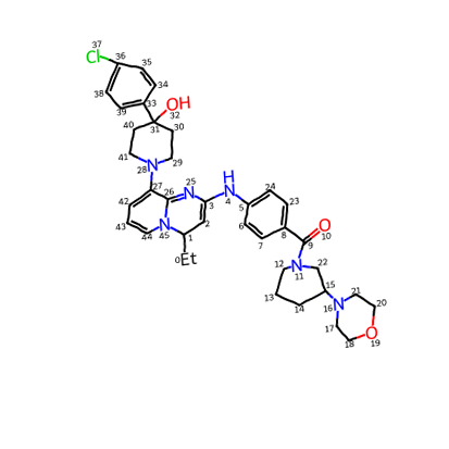 CCC1C=C(Nc2ccc(C(=O)N3CCCC(N4CCOCC4)C3)cc2)N=C2C(N3CCC(O)(c4ccc(Cl)cc4)CC3)=CC=CN21